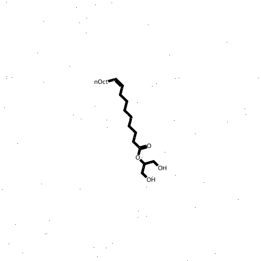 CCCCCCCC/C=C\CCCCCCCC(=O)OC(CO)CO